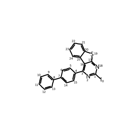 Ic1nc(-c2ccc(-c3ccccc3)cc2)c2c(n1)sc1ccccc12